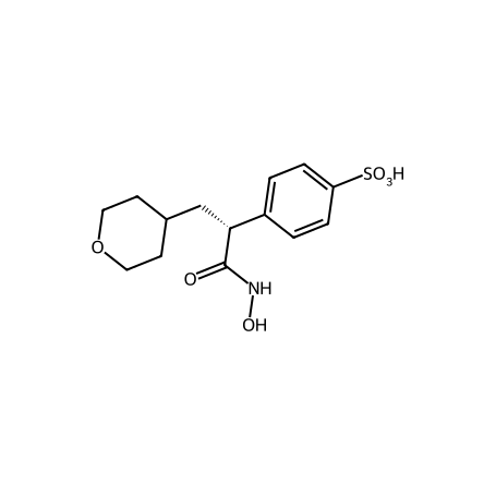 O=C(NO)[C@H](CC1CCOCC1)c1ccc(S(=O)(=O)O)cc1